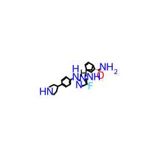 NC(=O)[C@H]1C2C=C[C@@H](C2)[C@H]1Nc1nc(Nc2ccc(C3CCNCC3)cc2)ncc1F